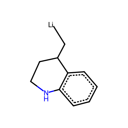 [Li][CH2]C1CCNc2ccccc21